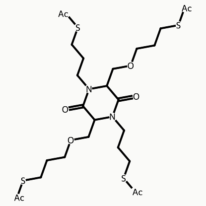 CC(=O)SCCCOCC1C(=O)N(CCCSC(C)=O)C(COCCCSC(C)=O)C(=O)N1CCCSC(C)=O